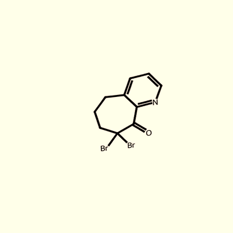 O=C1c2ncccc2CCCC1(Br)Br